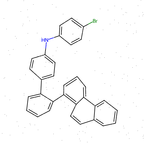 Brc1ccc(Nc2ccc(-c3ccccc3-c3cccc4c3ccc3ccccc34)cc2)cc1